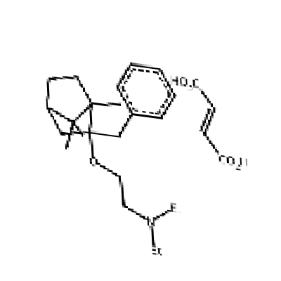 CCN(CC)CCOC1(Cc2ccccc2)CC2CCC1(C)C2(C)C.O=C(O)/C=C/C(=O)O